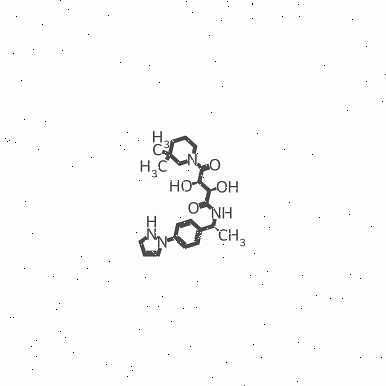 C[C@@H](NC(=O)[C@H](O)[C@@H](O)C(=O)N1CCCC(C)(C)C1)c1ccc(N2C=CCN2)cc1